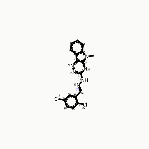 Cn1c2ccccc2c2nnc(N/N=C/c3cc(Cl)ccc3Cl)nc21